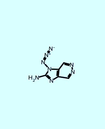 [N-]=[N+]=Nn1c(N)nc2cnncc21